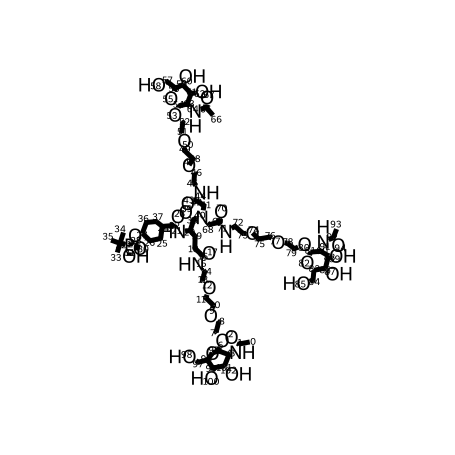 CC(=O)NC1C(OCCOCCOCCNC(=O)CCC(NC(=O)C2CCC(OP(=O)(O)C(C)(C)C)CC2)C(=O)N(CC(=O)NCCOCCOCCOC2OC(CO)C(O)C(O)C2NC(C)=O)CC(=O)NCCOCCOCCOC2OC(CO)C(O)C(O)C2NC(C)=O)OC(CO)C(O)C1O